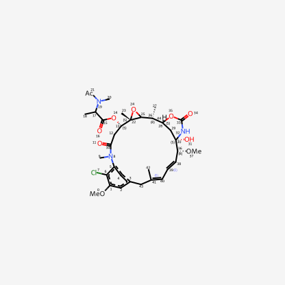 COc1cc2cc(c1Cl)N(C)C(=O)C[C@H](OC(=O)C(C)N(C)C(C)=O)[C@]1(C)OC1[C@H](C)[C@@H]1C[C@@](O)(NC(=O)O1)[C@H](OC)/C=C/C=C(\C)C2